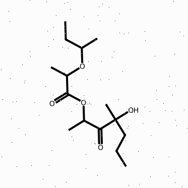 CCCC(C)(O)C(=O)C(C)OC(=O)C(C)OC(C)CC